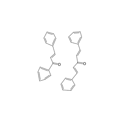 O=C(C=Cc1ccccc1)C=Cc1ccccc1.O=C(C=Cc1ccccc1)c1ccccc1